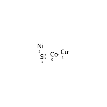 [Co].[Cu].[Ni].[Si]